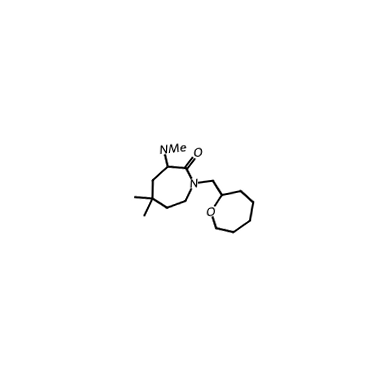 CNC1CC(C)(C)CCN(CC2CCCCCO2)C1=O